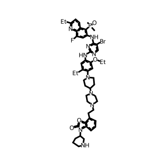 CCOc1cc(N2CCC(N3CCN(CCc4cccc5c4oc(=O)n5C4CCCNC4)CC3)CC2)c(CC)cc1Nc1ncc(Br)c(Nc2cc(F)c3nc(CC)ccc3c2P(C)(C)=O)n1